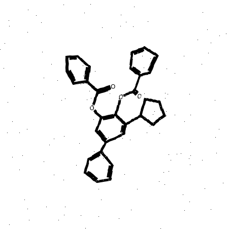 O=C(Oc1cc(-c2ccccc2)cc(C2CCCC2)c1OC(=O)c1ccccc1)c1ccccc1